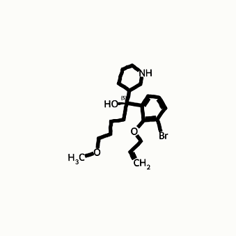 C=CCOc1c(Br)cccc1[C@](O)(CCCCOC)C1CCCNC1